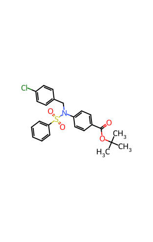 CC(C)(C)OC(=O)c1ccc(N(Cc2ccc(Cl)cc2)S(=O)(=O)c2ccccc2)cc1